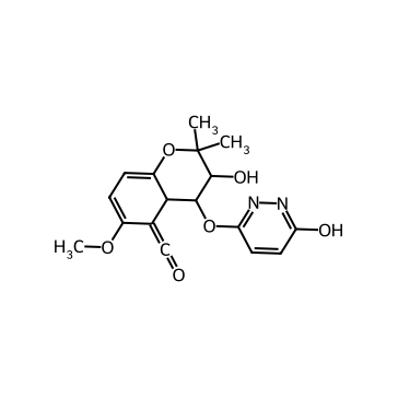 COC1=CC=C2OC(C)(C)C(O)C(Oc3ccc(O)nn3)C2C1=C=O